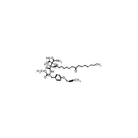 CC#CCOc1ccc(C[C@H](NC(=O)[C@@](C)(/C=C/CCCCCCC(=O)CCCCCCC)[C@](O)(C(N)=O)C(=O)O)C(=O)OC)cc1